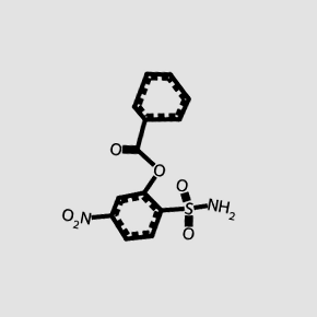 NS(=O)(=O)c1ccc([N+](=O)[O-])cc1OC(=O)c1ccccc1